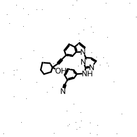 N#Cc1cccc(Nc2nccc(-n3ccc4ccc(C#CC5(O)CCCCC5)cc43)n2)c1